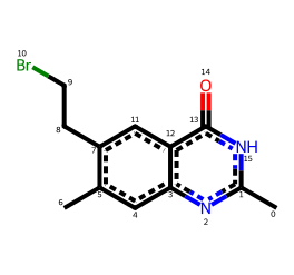 Cc1nc2cc(C)c(CCBr)cc2c(=O)[nH]1